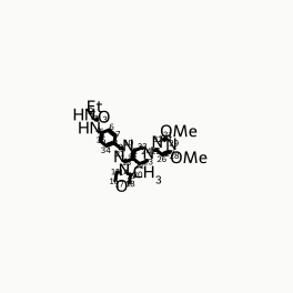 CCNC(=O)Nc1ccc(-c2nc3c(c(N4CCOC[C@@H]4C)n2)CCN(c2cc(OC)nc(OC)n2)C3)cc1